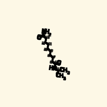 CC(C)NC(=O)CCCCCCCCC(N)=O